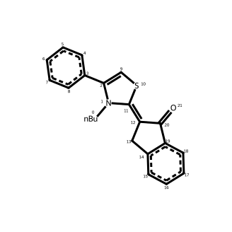 CCCCN1C(c2ccccc2)=CS/C1=C1/Cc2ccccc2C1=O